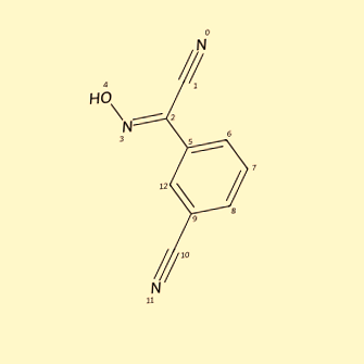 N#CC(=NO)c1cccc(C#N)c1